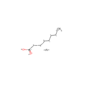 CCCCCCCC(=O)[O-].[Fr+]